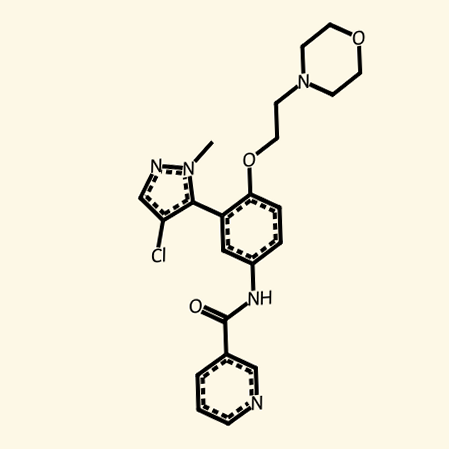 Cn1ncc(Cl)c1-c1cc(NC(=O)c2cccnc2)ccc1OCCN1CCOCC1